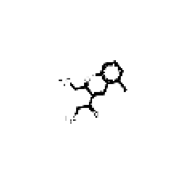 CCC(=O)C(=Cc1c(F)cccc1F)C(=O)CC